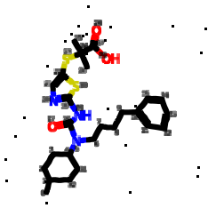 CC1CCC(N(CCCCc2ccccc2)C(=O)Nc2ncc(SC(C)(C)C(=O)O)s2)CC1